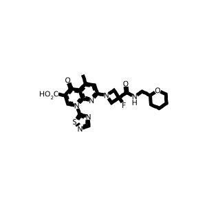 Cc1cc(N2CC(F)(C(=O)NCC3CCCCO3)C2)nc2c1c(=O)c(C(=O)O)cn2-c1ncns1